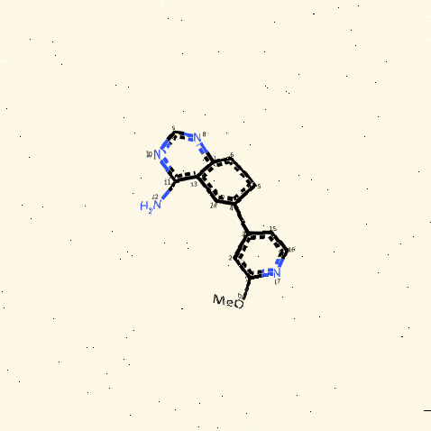 COc1cc(-c2ccc3ncnc(N)c3c2)ccn1